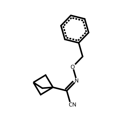 N#CC(=NOCc1ccccc1)C12CC(C1)C2